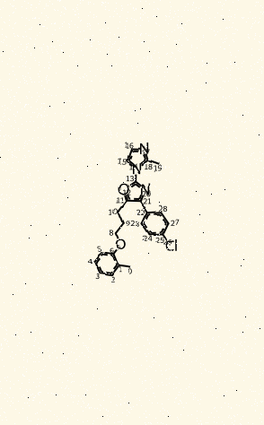 Cc1ccccc1OCCCc1oc(-n2ccnc2C)nc1-c1ccc(Cl)cc1